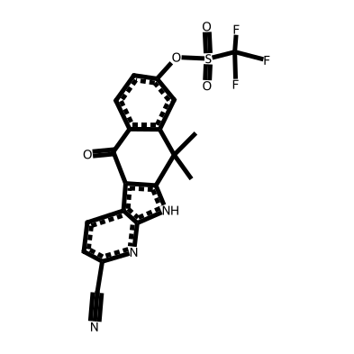 CC1(C)c2cc(OS(=O)(=O)C(F)(F)F)ccc2C(=O)c2c1[nH]c1nc(C#N)ccc21